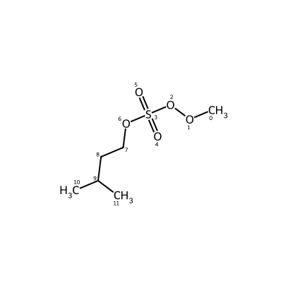 COOS(=O)(=O)OCCC(C)C